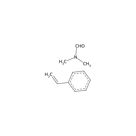 C=Cc1ccccc1.CN(C)C=O